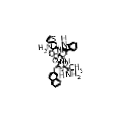 C[C@H](N)C(=O)N[C@H](Cc1ccc2ccccc2c1)C(=O)N[C@@H](Cc1c[nH]c2ccccc12)C(=O)N[C@@H](Cc1cccs1)C(N)=O